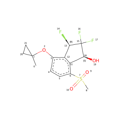 CC1(Oc2ccc(S(C)(=O)=O)c3c2[C@@H](F)C(F)(F)[C@H]3O)CC1